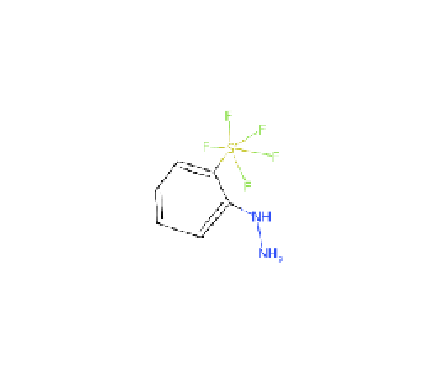 NNc1ccccc1S(F)(F)(F)(F)F